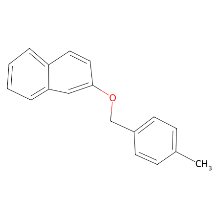 Cc1ccc(COc2ccc3ccccc3c2)cc1